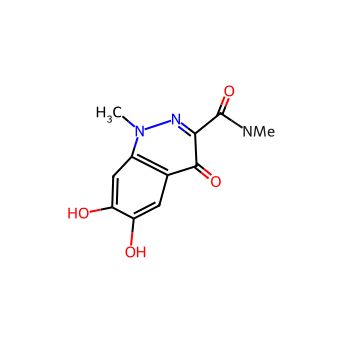 CNC(=O)c1nn(C)c2cc(O)c(O)cc2c1=O